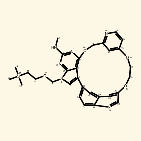 CNc1nc2c3c(cn(COCC[Si](C)(C)C)c3n1)-c1ccc3ncc(cc3c1)OCCOc1ccnc(c1)CO2